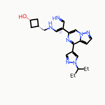 CCC(CC)n1cc(-c2nc(/C(C=N)=C/NC[C@H]3C[C@@H](O)C3)cn3nccc23)cn1